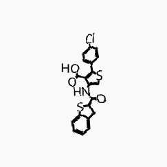 O=C(O)c1c(NC(=O)C2Cc3ccccc3S2)csc1-c1ccc(Cl)cc1